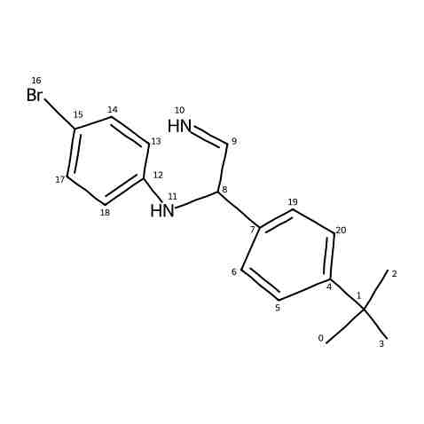 CC(C)(C)c1ccc(C(C=N)Nc2ccc(Br)cc2)cc1